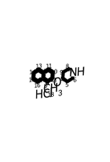 Cc1c(OC2CCNCC2)ccc2ccccc12.Cl